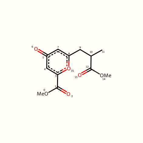 COC(=O)c1cc(=O)cc(CC(C)C(=O)OC)o1